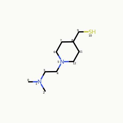 CN(C)CCN1CCC(CS)CC1